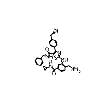 N#CCc1ccc(-c2nc(Nc3cc(C(=O)NC4CC4)ccc3CN)sc2C(=O)NCc2ccccc2)cc1